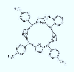 Cc1ccc(-c2c3nc(c(-c4ccc(C)cc4)c4ccc([nH]4)c(-c4ccccc4N)c4nc(c(-c5ccc(C)cc5)c5ccc2[nH]5)C=C4)C=C3)cc1